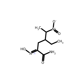 CCC(C/C(=N\O)C(N)=O)C(C)[N+](=O)[O-]